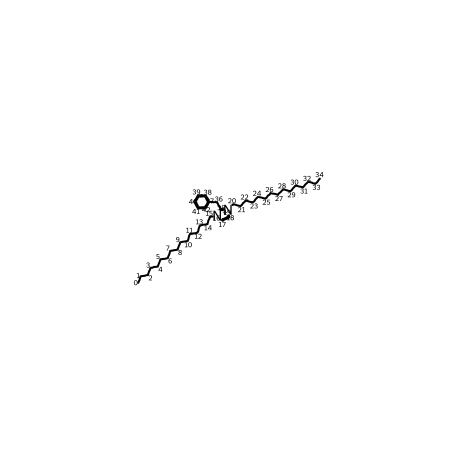 CCCCCCCCCCCCCCCC[n+]1ccn(CCCCCCCCCCCCCCC)c1Cc1ccccc1